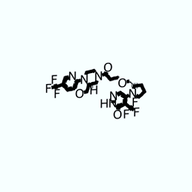 O=C(CCOC[C@@H]1CCCN1c1cn[nH]c(=O)c1C(F)(F)F)N1CCN2c3ncc(C(F)(F)F)cc3OC[C@H]2C1